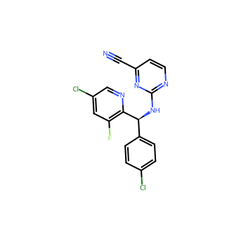 N#Cc1ccnc(N[C@@H](c2ccc(Cl)cc2)c2ncc(Cl)cc2F)n1